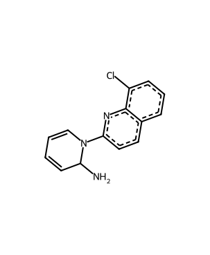 NC1C=CC=CN1c1ccc2cccc(Cl)c2n1